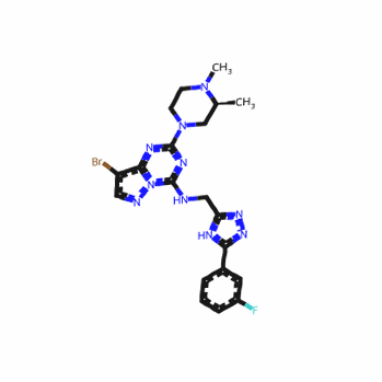 C[C@H]1CN(c2nc(NCc3nnc(-c4cccc(F)c4)[nH]3)n3ncc(Br)c3n2)CCN1C